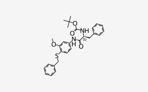 COc1cc(NC(=O)[C@H](Cc2ccccc2)NC(=O)OC(C)(C)C)ccc1SCc1ccccc1